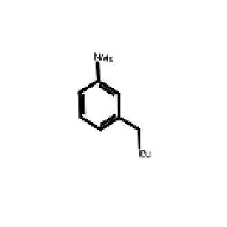 CCC(C)Cc1cccc(NC)c1